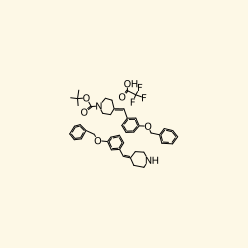 C(=C1CCNCC1)c1cccc(OCc2ccccc2)c1.CC(C)(C)OC(=O)N1CCC(=Cc2cccc(OCc3ccccc3)c2)CC1.O=C(O)C(F)(F)F